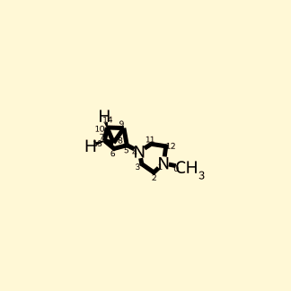 CN1CCN(C2C[C@H]3C4C2[C@H]43)CC1